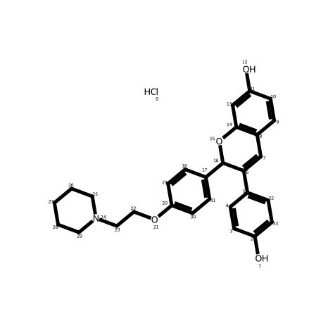 Cl.Oc1ccc(C2=Cc3ccc(O)cc3OC2c2ccc(OCCN3CCCCC3)cc2)cc1